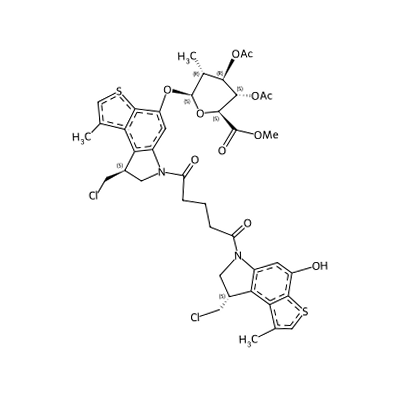 COC(=O)[C@H]1O[C@@H](Oc2cc3c(c4c(C)csc24)[C@H](CCl)CN3C(=O)CCCC(=O)N2C[C@@H](CCl)c3c2cc(O)c2scc(C)c32)[C@H](C)[C@@H](OC(C)=O)[C@@H]1OC(C)=O